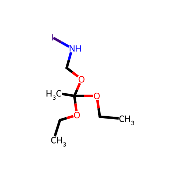 CCOC(C)(OCC)OCNI